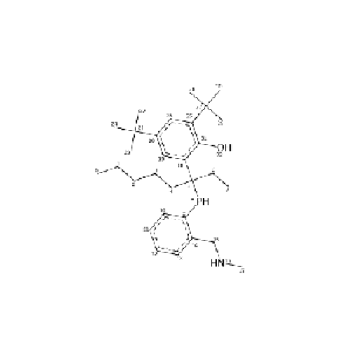 CCCCCC(CC)(Pc1ccccc1CNC)c1cc(C(C)(C)C)cc(C(C)(C)C)c1O